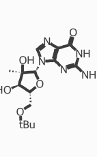 CC(C)(C)OC[C@H]1O[C@@H](n2cnc3c(=O)[nH]c(N)nc32)[C@](C)(O)[C@@H]1O